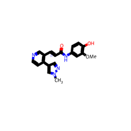 COc1cc(NC(=O)/C=C/c2cnccc2-c2cnn(C)c2)ccc1O